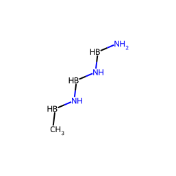 CBNBNBN